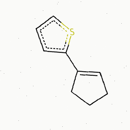 C1=C(c2cccs2)CCC1